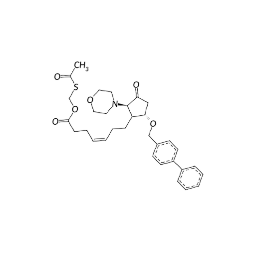 CC(=O)SCOC(=O)CC/C=C\CCC1[C@@H](OCc2ccc(-c3ccccc3)cc2)CC(=O)[C@@H]1N1CCOCC1